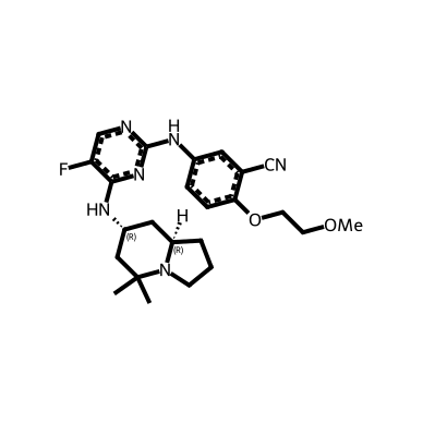 COCCOc1ccc(Nc2ncc(F)c(N[C@@H]3C[C@H]4CCCN4C(C)(C)C3)n2)cc1C#N